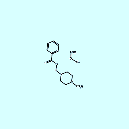 CC(C)(C)OC=O.O=C(OCC1CCN(C(=O)O)CC1)c1ccccc1